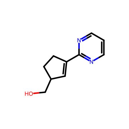 OCC1C=C(c2ncccn2)CC1